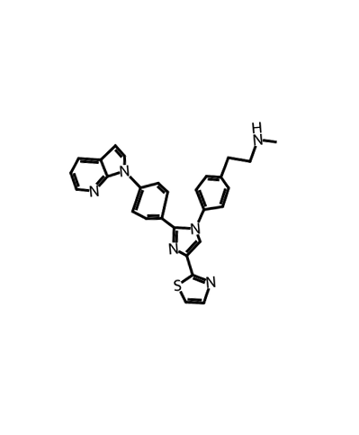 CNCCc1ccc(-n2cc(-c3nccs3)nc2-c2ccc(-n3ccc4cccnc43)cc2)cc1